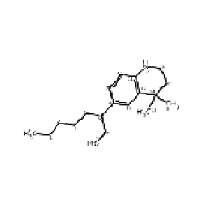 CCCCC[C@H](CO)c1ccc2c(c1)C(C)(C)CCN2